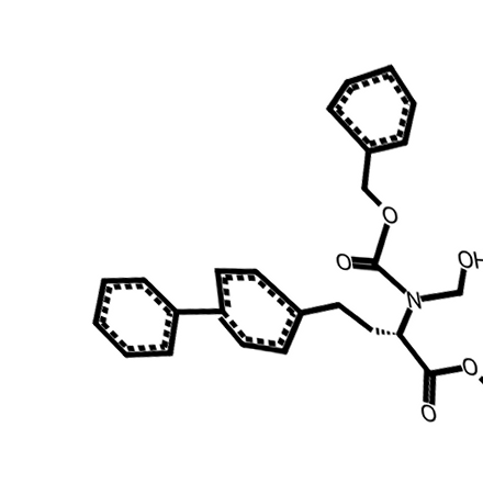 COC(=O)[C@H](CCc1ccc(-c2ccccc2)cc1)N(CO)C(=O)OCc1ccccc1